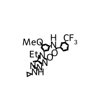 CCc1c2cnc(NC3CC3)nc2nc(=O)n1-c1cc(NC(=O)c2cccc(C(F)(F)F)c2)cc(OC)c1